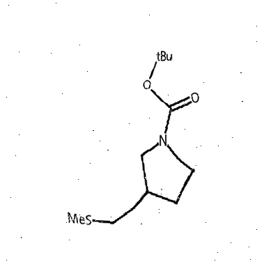 CSCC1CCN(C(=O)OC(C)(C)C)C1